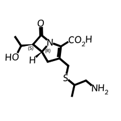 CC(CN)SCC1=C(C(=O)O)N2C(=O)[C@H](C(C)O)[C@H]2C1